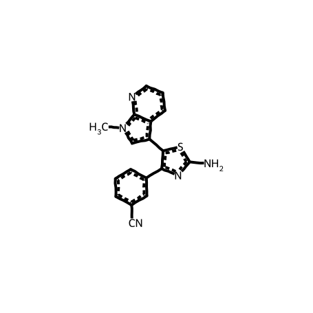 Cn1cc(-c2sc(N)nc2-c2cccc(C#N)c2)c2cccnc21